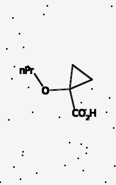 CCCOC1(C(=O)O)CC1